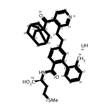 CSCC[C@H](NC(=O)c1ccc(CCc2cnccc2C(=O)C23CC4CC(CC(C4)C2)C3)cc1-c1ccccc1C)C(=O)O.[LiH]